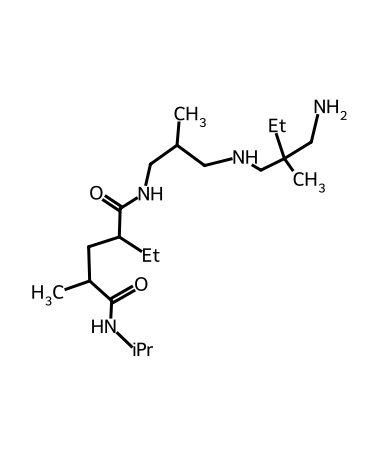 CCC(CC(C)C(=O)NC(C)C)C(=O)NCC(C)CNCC(C)(CC)CN